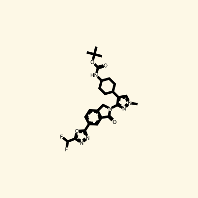 Cn1cc(C2CCC(NC(=O)OC(C)(C)C)CC2)c(N2Cc3ccc(-c4nnc(C(F)F)o4)cc3C2=O)n1